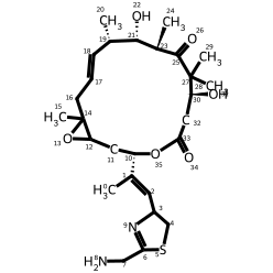 C/C(=C\C1CSC(CN)=N1)[C@@H]1CC2OC2(C)C/C=C/[C@H](C)[C@H](O)[C@@H](C)C(=O)C(C)(C)[C@@H](O)CC(=O)O1